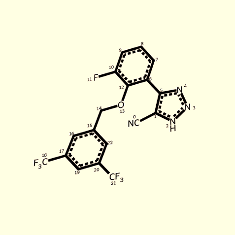 N#Cc1[nH]nnc1-c1cccc(F)c1OCc1cc(C(F)(F)F)cc(C(F)(F)F)c1